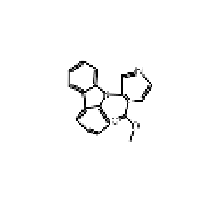 COC(=O)c1ccncc1-n1c2ccccc2c2ccccc21